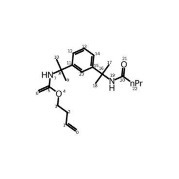 C=CCCOC(=C)NC(C)(C)c1cccc(C(C)(C)NC(=O)CCC)c1